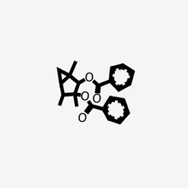 CC1C2CC2(C)C(OC(=O)c2ccccc2)C1(C)OC(=O)c1ccccc1